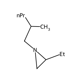 CCCC(C)CN1CC1CC